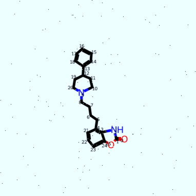 O=c1[nH]c2c(CCCCN3CCC(c4ccccc4)CC3)cccc2o1